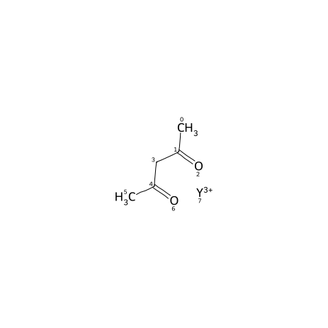 CC(=O)CC(C)=O.[Y+3]